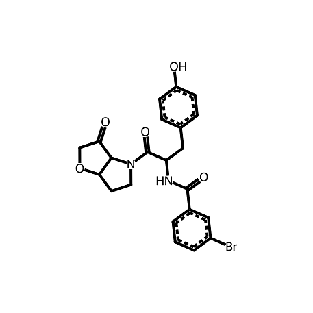 O=C(NC(Cc1ccc(O)cc1)C(=O)N1CCC2OCC(=O)C21)c1cccc(Br)c1